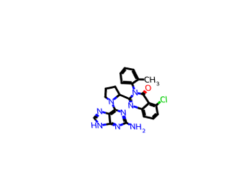 Cc1ccccc1-n1c(C2CCCN2c2nc(N)nc3[nH]cnc23)nc2cccc(Cl)c2c1=O